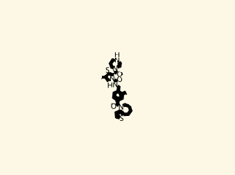 Cc1cc(C(=O)N2CCCCc3sccc32)ccc1CNC(=O)N1CC(C)C(=S)[C@H]1C(=O)N1CCCNCC1